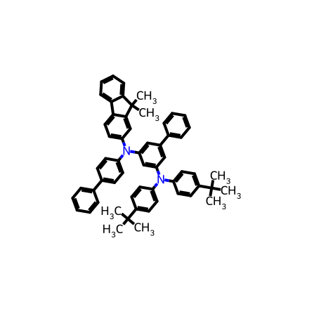 CC(C)(C)c1ccc(N(c2ccc(C(C)(C)C)cc2)c2cc(-c3ccccc3)cc(N(c3ccc(-c4ccccc4)cc3)c3ccc4c(c3)C(C)(C)c3ccccc3-4)c2)cc1